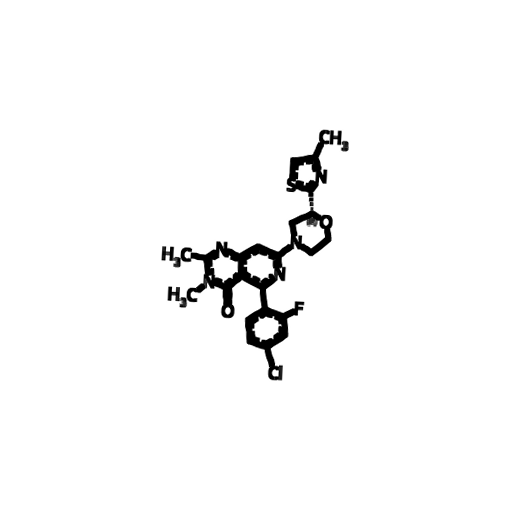 Cc1csc([C@H]2CN(c3cc4nc(C)n(C)c(=O)c4c(-c4ccc(Cl)cc4F)n3)CCO2)n1